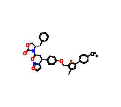 Cc1cc(-c2ccc(C(F)(F)F)cc2)sc1COc1ccc([C@H](CC(=O)N2C(=O)OC[C@@H]2Cc2ccccc2)c2ccon2)cc1